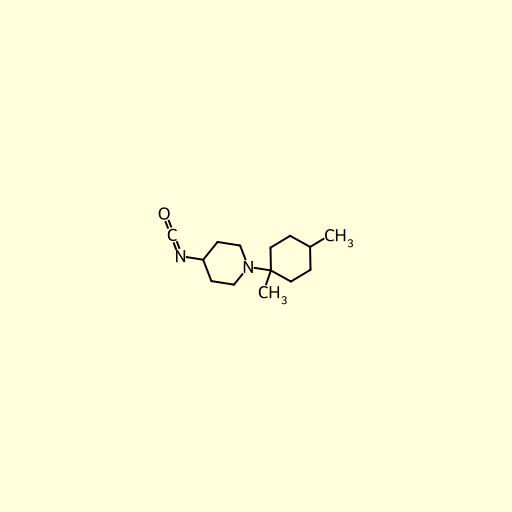 CC1CCC(C)(N2CCC(N=C=O)CC2)CC1